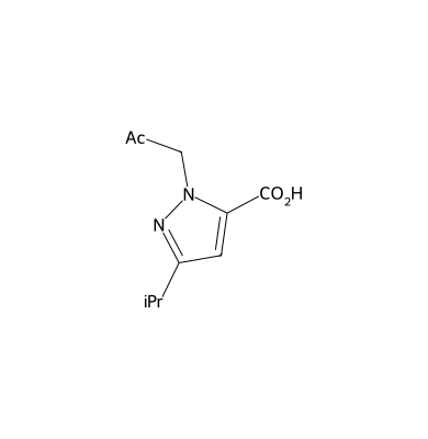 CC(=O)Cn1nc(C(C)C)cc1C(=O)O